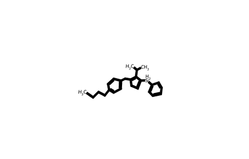 CCCCc1ccc(CC2=C(C(C)C)C([SiH2]c3ccccc3)=CC2)cc1